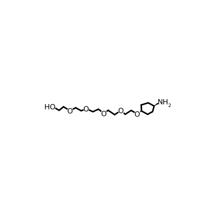 N[C@H]1CC[C@H](OCCOCCOCCOCCOCCO)CC1